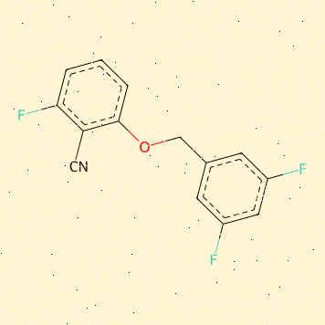 N#Cc1c(F)cccc1OCc1cc(F)cc(F)c1